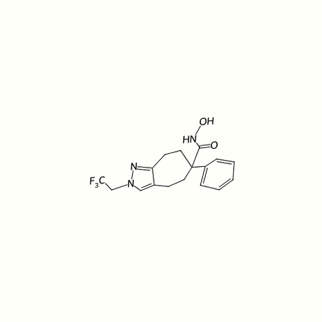 O=C(NO)C1(c2ccccc2)CCc2cn(CC(F)(F)F)nc2CC1